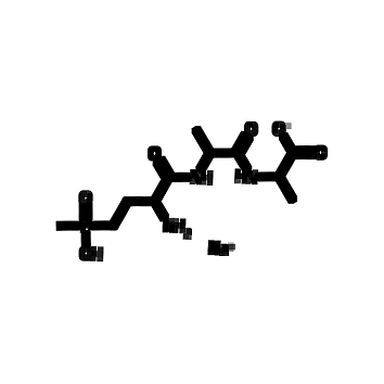 CC(NC(=O)C(C)NC(=O)C(N)CCP(C)(=O)O)C(=O)[O-].[Na+]